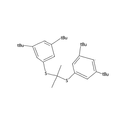 CC(C)(Sc1cc(C(C)(C)C)[c]c(C(C)(C)C)c1)Sc1cc(C(C)(C)C)[c]c(C(C)(C)C)c1